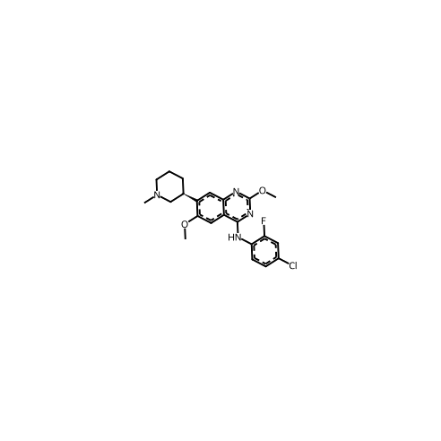 COc1nc(Nc2ccc(Cl)cc2F)c2cc(OC)c([C@@H]3CCCN(C)C3)cc2n1